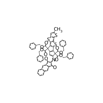 Cc1cc2sc3c4c(sc3c2s1)C1=C(C=C(N=c2c(=O)c3cc5ccccc5cc3c2=O)C1(C(=O)OCc1ccccc1)C(=O)OCc1ccccc1)C4(C(=O)OCc1ccccc1)C(=O)OCc1ccccc1